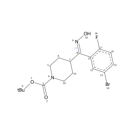 CC(C)(C)OC(=O)N1CCC(/C(=N/O)c2cc(Br)ccc2F)CC1